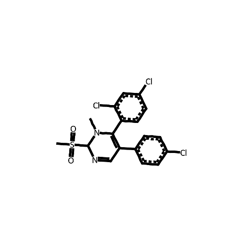 CN1C(c2ccc(Cl)cc2Cl)=C(c2ccc(Cl)cc2)C=NC1S(C)(=O)=O